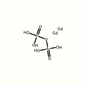 O=P(O)(O)O[As](=O)(O)O.[Gd].[Gd]